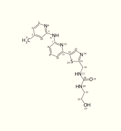 Cc1ccnc(Nc2cccc(-c3cnc(CNC(=O)NCCO)s3)n2)c1